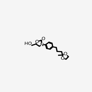 CC1(CCCc2ccc(N3CC(CO)OC3=O)cc2)OCCO1